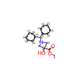 COC(=O)C1(O)CN(C(c2ccccc2)c2ccccc2)C1